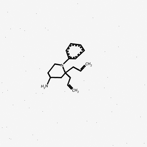 C=CCC1(CC=C)CC(N)CCN1c1ccccc1